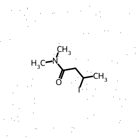 CC(I)CC(=O)N(C)C